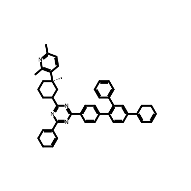 Cc1ccc([C@]2(C)CCCC(c3nc(C4=CCCC=C4)nc(-c4ccc(-c5ccc(C6=CC=CCC6)cc5-c5ccccc5)cc4)n3)C2)c(C)n1